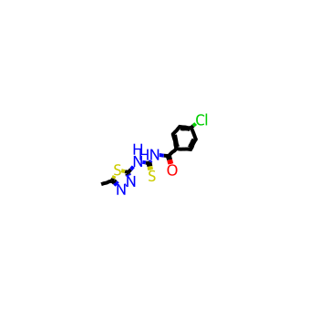 Cc1nnc(NC(=S)NC(=O)c2ccc(Cl)cc2)s1